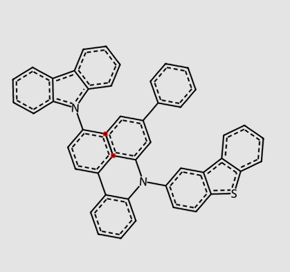 c1ccc(-c2cccc(N(c3ccc4sc5ccccc5c4c3)c3ccccc3-c3ccc(-n4c5ccccc5c5ccccc54)cc3)c2)cc1